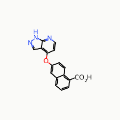 O=C(O)c1cccc2cc(Oc3ccnc4[nH]ncc34)ccc12